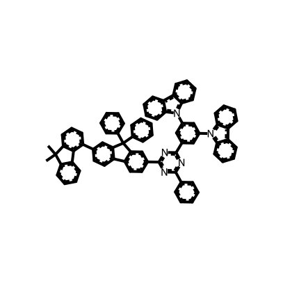 CC1(C)c2ccccc2-c2c(-c3ccc4c(c3)C(c3ccccc3)(c3ccccc3)c3cc(-c5nc(-c6ccccc6)nc(-c6cc(-n7c8ccccc8c8ccccc87)cc(-n7c8ccccc8c8ccccc87)c6)n5)ccc3-4)cccc21